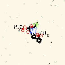 COC(=O)c1ccccc1-c1ccc(CNC(=O)[C@]2(NC(=O)CC(F)(F)F)C[C@@H]2COC(C)=O)cc1